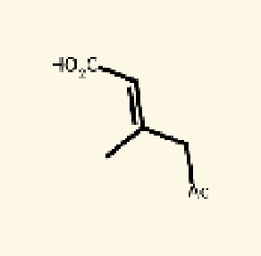 CC(=O)C/C(C)=C/C(=O)O